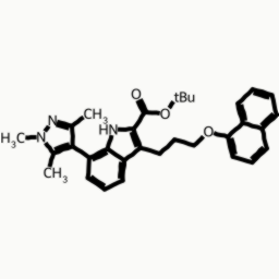 Cc1nn(C)c(C)c1-c1cccc2c(CCCOc3cccc4ccccc34)c(C(=O)OC(C)(C)C)[nH]c12